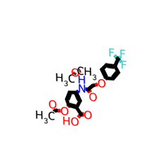 CC(=O)Oc1ccc(NC(=O)COc2ccc(C(F)(F)F)cc2)cc1C(=O)O.COC